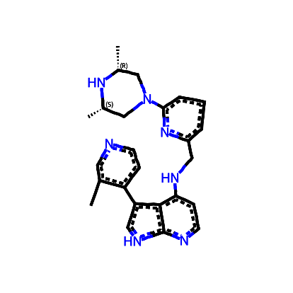 Cc1cnccc1-c1c[nH]c2nccc(NCc3cccc(N4C[C@@H](C)N[C@@H](C)C4)n3)c12